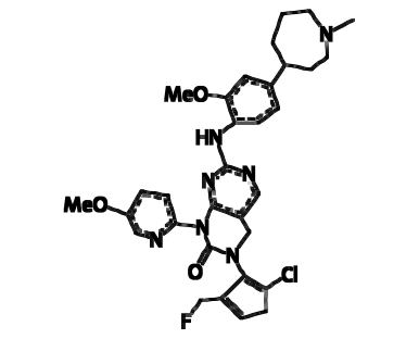 COc1ccc(N2C(=O)N(C3=C(Cl)CC=C3CF)Cc3cnc(Nc4ccc(C5CCCN(C)CC5)cc4OC)nc32)nc1